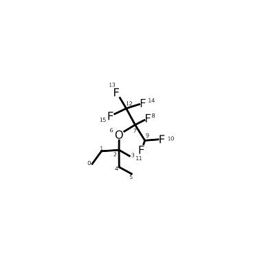 CCC(C)(CC)OC(F)(C(F)F)C(F)(F)F